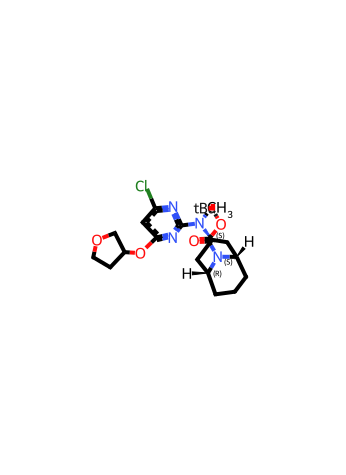 CN(c1nc(Cl)cc(OC2CCOC2)n1)[C@@H]1C[C@H]2CCC[C@@H](C1)N2C(=O)OC(C)(C)C